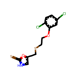 S=c1[nH]cc(CSCCOc2cc(Cl)ccc2Cl)o1